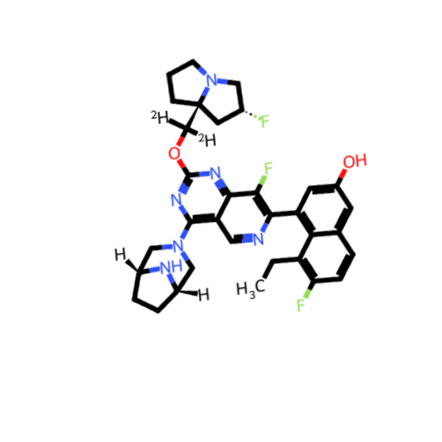 [2H]C([2H])(Oc1nc(N2C[C@H]3CC[C@@H](C2)N3)c2cnc(-c3cc(O)cc4ccc(F)c(CC)c34)c(F)c2n1)[C@@]12CCCN1C[C@H](F)C2